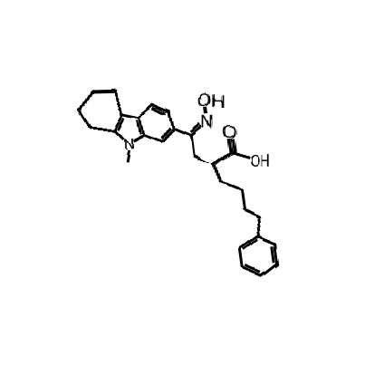 Cn1c2c(c3ccc(C(C[C@H](CCCCc4ccccc4)C(=O)O)=NO)cc31)CCCC2